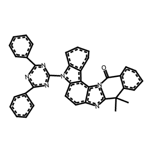 CC1(C)c2ccccc2C(=O)n2c1nc1ccc3c(c4ccccc4n3-c3nc(-c4ccccc4)nc(-c4ccccc4)n3)c12